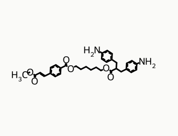 COC(=O)C=Cc1ccc(C(=O)OCCCCCCOC(=O)C(Cc2ccc(N)cc2)Cc2ccc(N)cc2)cc1